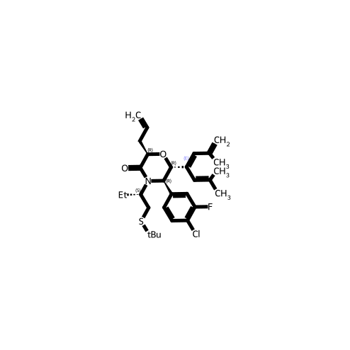 C=CC[C@H]1O[C@H](/C(C=C(C)C)=C/C(=C)C)[C@@H](c2ccc(Cl)c(F)c2)N([C@@H](CC)CSC(C)(C)C)C1=O